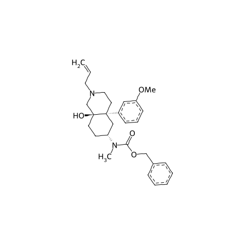 C=CCN1CC[C@@]2(c3cccc(OC)c3)C[C@H](N(C)C(=O)OCc3ccccc3)CC[C@]2(O)C1